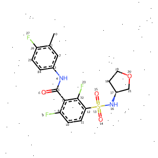 Cc1cc(NC(=O)c2c(F)ccc(S(=O)(=O)N[C@H]3CCOC3)c2F)ccc1F